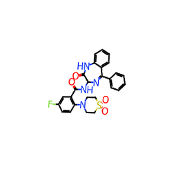 O=C(NC1N=C(c2ccccc2)c2ccccc2NC1=O)c1cc(F)ccc1N1CCS(=O)(=O)CC1